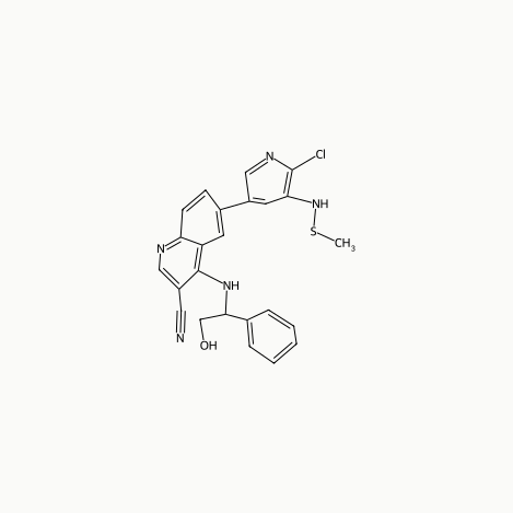 CSNc1cc(-c2ccc3ncc(C#N)c(NC(CO)c4ccccc4)c3c2)cnc1Cl